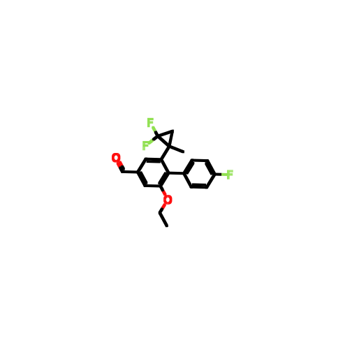 CCOc1cc(C=O)cc(C2(C)CC2(F)F)c1-c1ccc(F)cc1